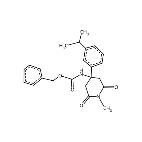 CC(C)c1cccc(C2(NC(=O)OCc3ccccc3)CC(=O)N(C)C(=O)C2)c1